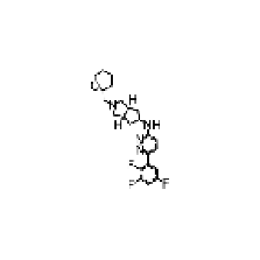 Fc1cc(F)c(F)c(-c2ccc(NC3C[C@@H]4CN(CC5CCCCO5)C[C@@H]4C3)nn2)c1